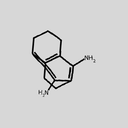 Nc1c2c(N)c3c(c1CCC3)CC2